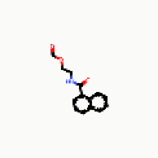 O=[C]OCCNC(=O)c1cccc2ccccc12